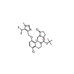 C[C@H]1CCC(=O)N1C[C@@H]1c2c(OCc3nnn(C)c3C(F)F)ccc(Cl)c2CCN1C(=O)OC(C)(C)C